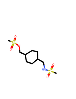 CS(=O)(=O)NCC1CCC(COS(C)(=O)=O)CC1